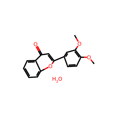 COc1ccc(-c2cc(=O)c3ccccc3o2)cc1OC.O